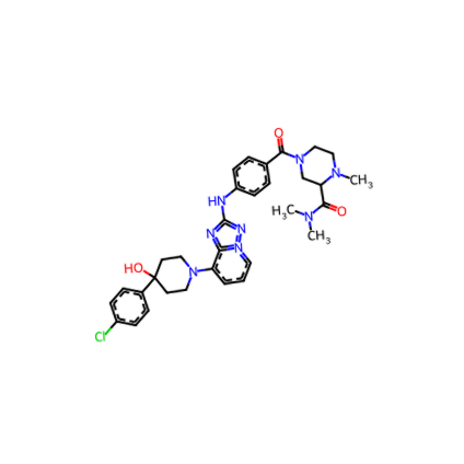 CN(C)C(=O)C1CN(C(=O)c2ccc(Nc3nc4c(N5CCC(O)(c6ccc(Cl)cc6)CC5)cccn4n3)cc2)CCN1C